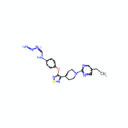 CCc1cnc(N2CC=C(c3nsnc3Oc3ccc(N/C=N\N=N)cc3)CC2)nc1